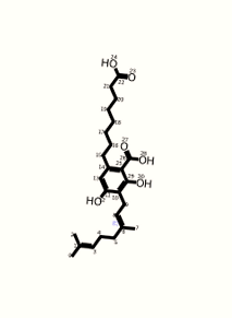 CC(C)=CCC/C(C)=C/Cc1c(O)cc(CCCCCCCC(=O)O)c(C(=O)O)c1O